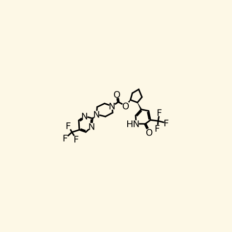 O=C(O[C@H]1CCC[C@H]1c1c[nH]c(=O)c(C(F)(F)F)c1)N1CCN(c2ncc(C(F)(F)F)cn2)CC1